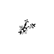 CC1(C)O[C@H]2O[C@H](CO[Si](C)(C)C(C)(C)C)[C@](O)(C#C[Si](C)(C)C)[C@H]2O1